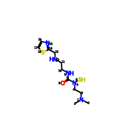 CN(C)CCN(S)C(=O)NCCNCc1nccs1